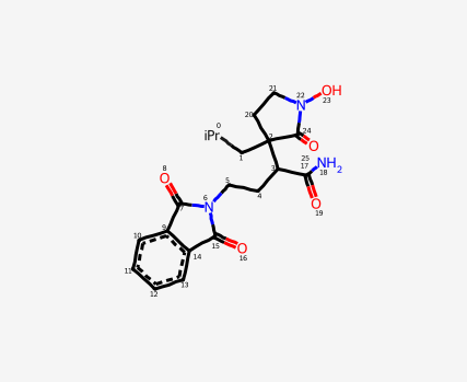 CC(C)CC1(C(CCN2C(=O)c3ccccc3C2=O)C(N)=O)CCN(O)C1=O